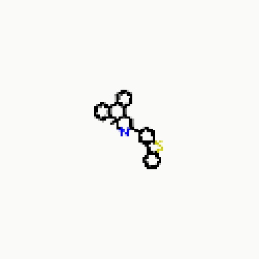 CC12C=NC(c3ccc4sc5ccccc5c4c3)=CC1c1ccccc1-c1ccccc12